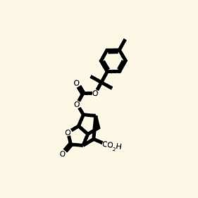 Cc1ccc(C(C)(C)OC(=O)OC2C3CC4C2OC(=O)C4C3C(=O)O)cc1